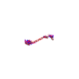 CN[C@@H](C)C(=O)NC(C(=O)N1CCC[C@H]1C(=O)Nc1sc(NC(=O)COCCOCCOCCOCCOCCOCCN(C)C(=O)Cc2cccc(CNC(=O)c3cc(-c4ccc(C5CC5)cc4)c(OC)cn3)c2)nc1-c1ccccc1)C1CCCCC1